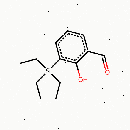 CC[Si](CC)(CC)c1cccc(C=O)c1O